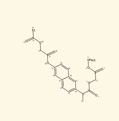 CCCCCOC(=O)COC(=O)C(C)c1ccc2cc(OC(=O)COC(=O)CC)ccc2c1